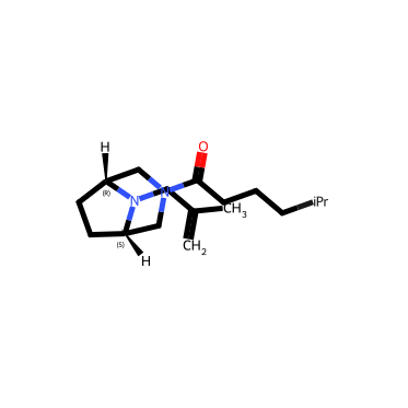 C=C(C)CN1[C@@H]2CC[C@H]1CN(C(=O)CCCC(C)C)C2